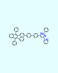 c1ccc(-c2nc(-c3ccc(-c4ccc(-c5ccc6c7c(cccc57)-c5c-6c(-c6ccccc6)c6ccccc6c5-c5ccccc5)cc4)cc3)cc(-c3ccccn3)n2)cc1